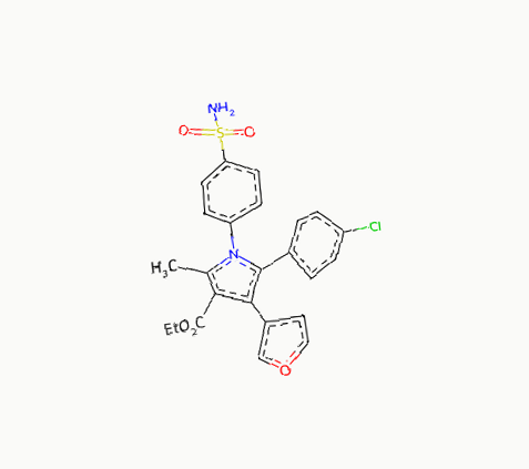 CCOC(=O)c1c(-c2ccoc2)c(-c2ccc(Cl)cc2)n(-c2ccc(S(N)(=O)=O)cc2)c1C